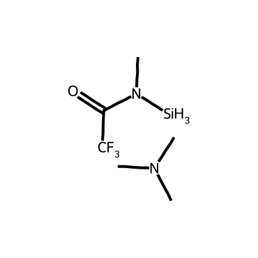 CN(C)C.CN([SiH3])C(=O)C(F)(F)F